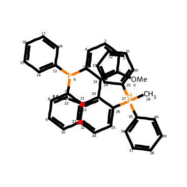 COc1cccc(P(c2ccccc2)c2ccccc2)c1-c1c(OC)cccc1[PH](C)(c1ccccc1)c1ccccc1